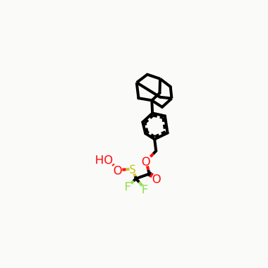 O=C(OCc1ccc(C23CC4CC(CC(C4)C2)C3)cc1)C(F)(F)SOO